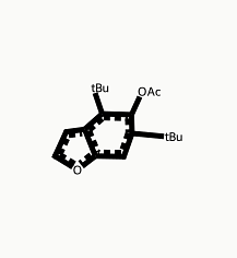 CC(=O)Oc1c(C(C)(C)C)cc2occc2c1C(C)(C)C